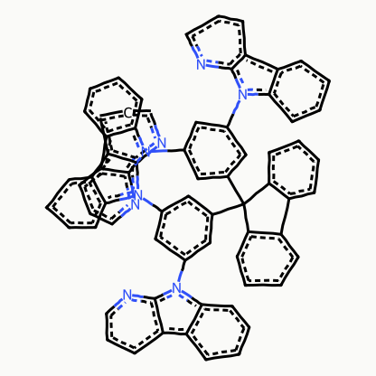 c1ccc2c(c1)-c1ccccc1C2(c1cc(-n2c3ccccc3c3cccnc32)cc(-n2c3ccccc3c3cccnc32)c1)c1cc(-n2c3ccccc3c3cccnc32)cc(-n2c3ccccc3c3cccnc32)c1